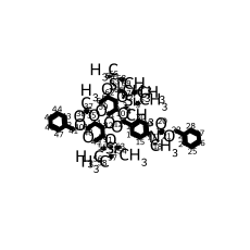 CC[Si](CC)(CC)O[C@@H]1[C@@H](OC(=O)c2ccc(N(C)C(=O)OCc3ccccc3)cc2)[C@H](O[C@@H]2[C@@H](OC(C)=O)[C@@H](OCc3ccccc3)OC[C@@H]2O[Si](CC)(CC)CC)OC[C@H]1O[Si](CC)(CC)CC